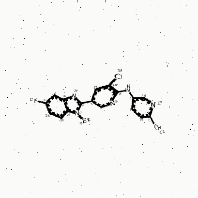 CCn1c(-c2cnc(Nc3ccc(C)nc3)c(Cl)c2)nc2cc(F)ccc21